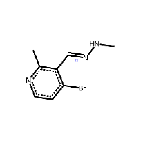 CN/N=C/c1c(Br)ccnc1C